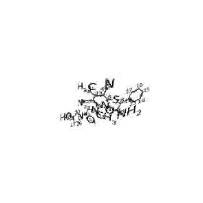 CCc1c(C#N)c(SC(C(N)=O)c2ccccc2)nc(N(C)CC(=O)N2CC[C@H](O)C2)c1C#N